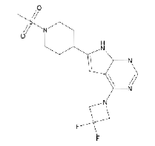 CS(=O)(=O)N1CC=C(c2cc3c(N4CC(F)(F)C4)ncnc3[nH]2)CC1